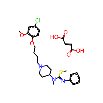 COc1cc(Cl)ccc1OCCCCN1CCC(N(C)C(=Nc2ccccc2)SC)CC1.O=C(O)C=CC(=O)O